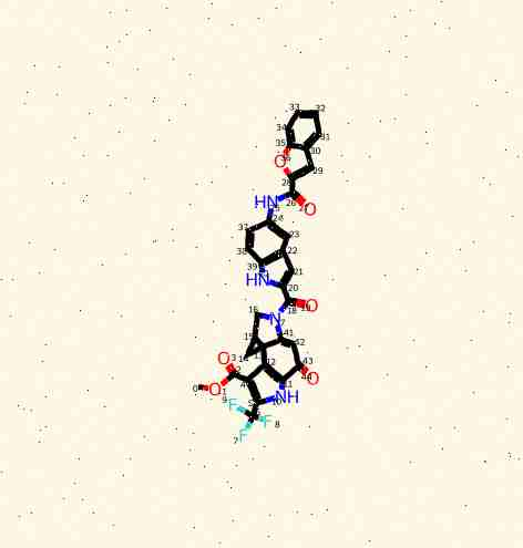 COC(=O)c1c(C(F)(F)F)[nH]c2c1C13CC1CN(C(=O)c1cc4cc(NC(=O)c5cc6ccccc6o5)ccc4[nH]1)C3=CC2=O